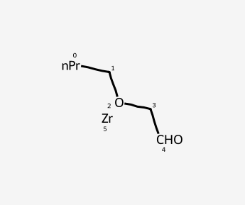 CCCCOCC=O.[Zr]